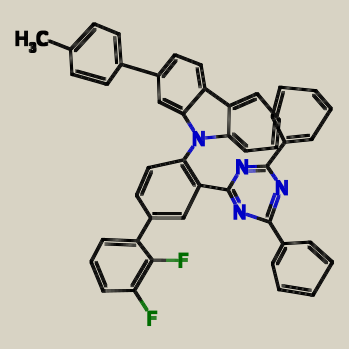 Cc1ccc(-c2ccc3c4ccccc4n(-c4ccc(-c5cccc(F)c5F)cc4-c4nc(-c5ccccc5)nc(-c5ccccc5)n4)c3c2)cc1